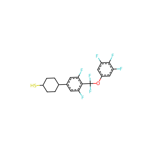 Fc1cc(OC(F)(F)c2c(F)cc(C3CCC(S)CC3)cc2F)cc(F)c1F